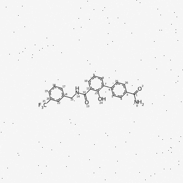 NC(=O)c1ccc(-c2cccc(C(=O)NCc3cccc(C(F)(F)F)c3)c2O)cc1